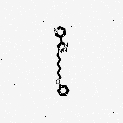 c1ccc(OCCCCCCn2cc(-c3cccnc3)nn2)cc1